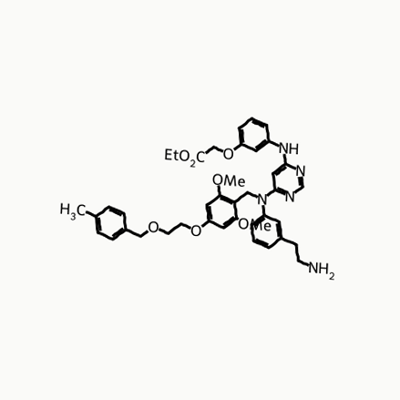 CCOC(=O)COc1cccc(Nc2cc(N(Cc3c(OC)cc(OCCOCc4ccc(C)cc4)cc3OC)c3cccc(CCN)c3)ncn2)c1